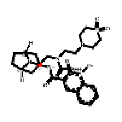 COC(=O)N(CCN1CCS(=O)(=O)CC1)CCN1[C@@H]2CC[C@H]1C[C@H](NC(=O)c1cc3ccccc3n(C(C)C)c1=O)C2